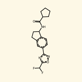 O=C(NC1CCc2cc(-c3noc(C(F)F)n3)ccc21)C1CCCC1